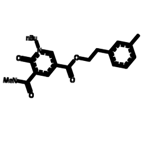 CCCCn1cc(C(=O)OCCc2cccc(C)c2)cc(C(=O)NC)c1=O